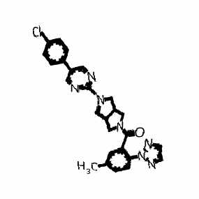 Cc1ccc(-n2nccn2)c(C(=O)N2CC3CN(c4ncc(-c5ccc(Cl)cc5)cn4)CC3C2)c1